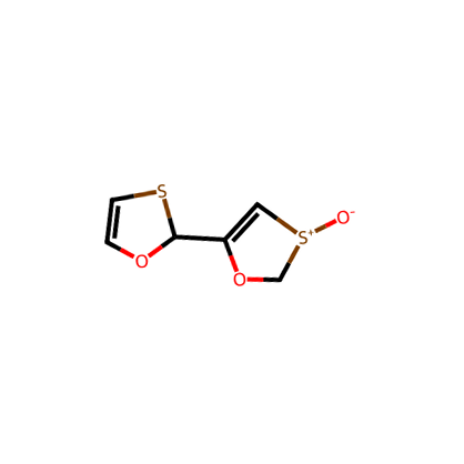 [O-][S+]1C=C(C2OC=CS2)OC1